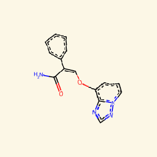 NC(=O)C(=COc1cccn2ncnc12)c1ccccc1